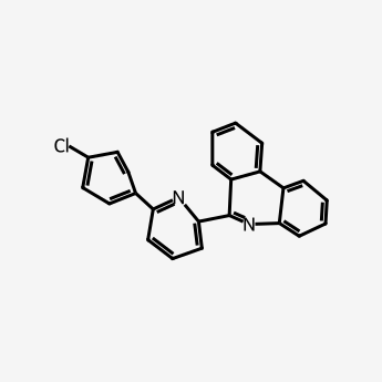 Clc1ccc(-c2cccc(-c3nc4ccccc4c4ccccc34)n2)cc1